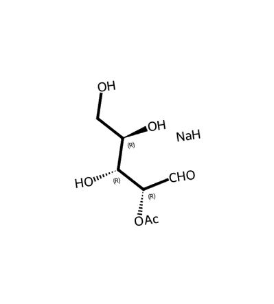 CC(=O)O[C@@H](C=O)[C@H](O)[C@H](O)CO.[NaH]